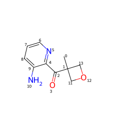 CC1(C(=O)c2ncccc2N)COC1